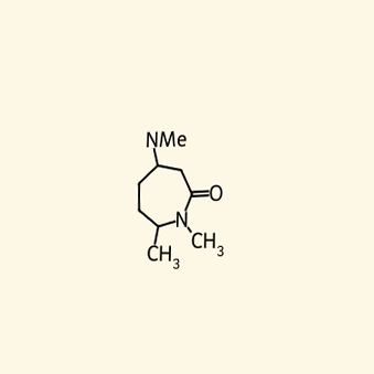 CNC1CCC(C)N(C)C(=O)C1